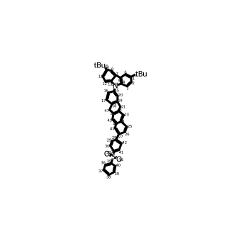 CC(C)(C)c1ccc2c(c1)c1cc(C(C)(C)C)ccc1n2-c1ccc2c(c1)Cc1cc3ccc(-c4ccc(S(=O)(=O)c5ccccc5)cc4)cc3cc1C2